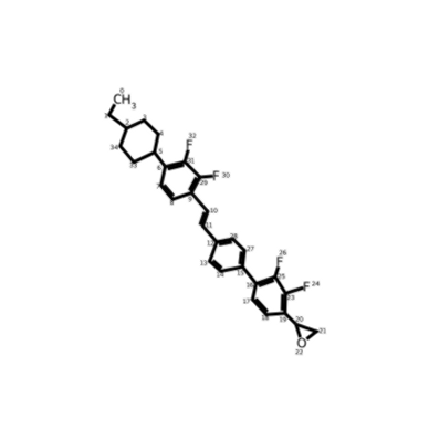 CCC1CCC(c2ccc(/C=C/c3ccc(-c4ccc(C5CO5)c(F)c4F)cc3)c(F)c2F)CC1